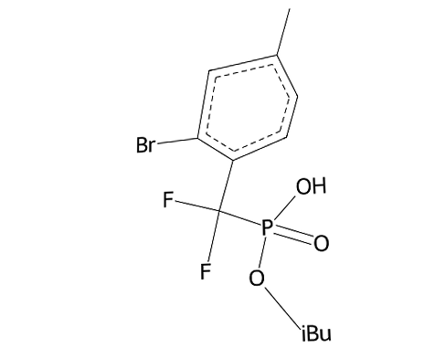 CCC(C)OP(=O)(O)C(F)(F)c1ccc(C)cc1Br